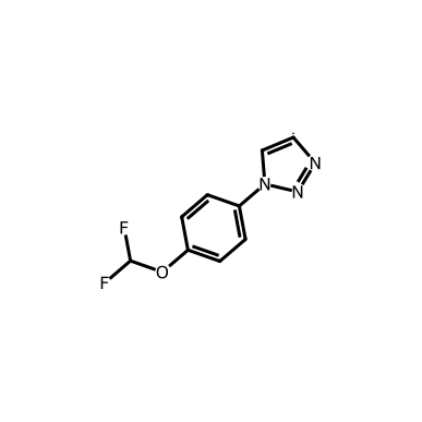 FC(F)Oc1ccc(-n2c[c]nn2)cc1